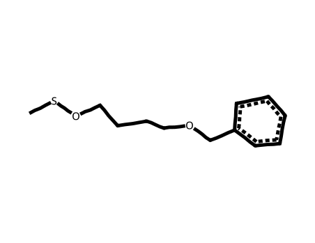 CSOCCCCOCc1ccccc1